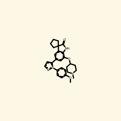 COc1ccc(-n2nccc2-c2cc(OC3CCN(C)CC3)c3c(c2)C2(CCCC2)C(=O)N3)cc1